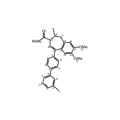 CNC(=O)N1N=C(c2ccc(-c3cncc(C)c3)cc2)c2cc(OC)c(OC)cc2CC1C